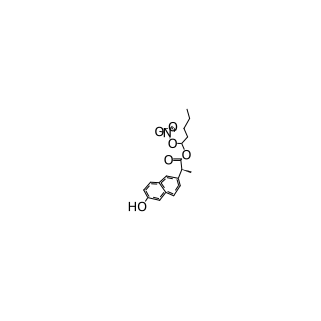 CCCCC(OC(=O)[C@@H](C)c1ccc2cc(O)ccc2c1)O[N+](=O)[O-]